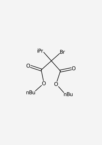 CCCCOC(=O)C(Br)(C(=O)OCCCC)C(C)C